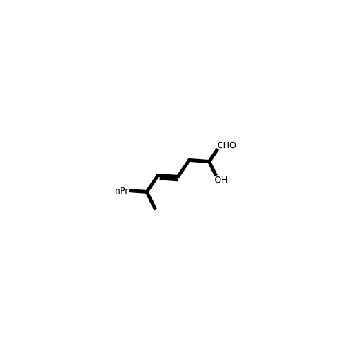 CCCC(C)C=CCC(O)C=O